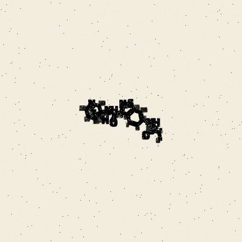 CC[S+]([O-])Nc1ccc2c(C(=O)N[C@@H]3CN4CCC3CC4)nsc2c1